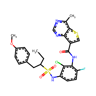 CCC(Cc1ccc(OC)cc1)S(=O)(=O)Nc1ccc(F)c(NC(=O)c2csc3c(C)ncnc23)c1Cl